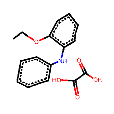 CCOc1ccccc1Nc1ccccc1.O=C(O)C(=O)O